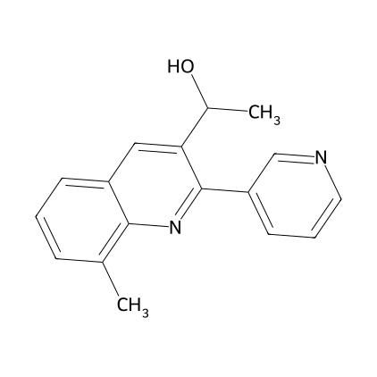 Cc1cccc2cc(C(C)O)c(-c3cccnc3)nc12